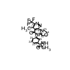 Cc1c(C(F)(F)F)nnc(N2CCOCC2)c1C(=O)Nc1cccc(S(C)(=N)=O)c1